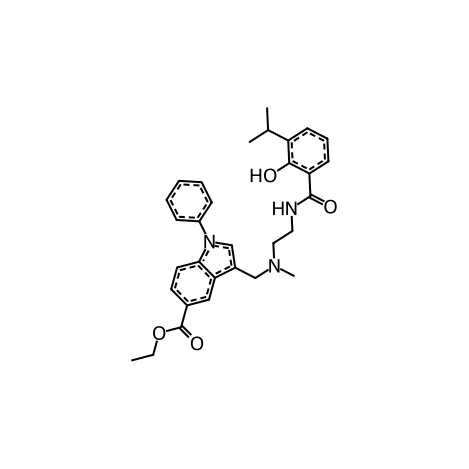 CCOC(=O)c1ccc2c(c1)c(CN(C)CCNC(=O)c1cccc(C(C)C)c1O)cn2-c1ccccc1